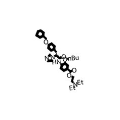 CCCCOc1cc(C(=O)OCCN(CC)CC)ccc1NC(=O)[C@@H](Cc1ccc(OCc2ccccc2)cc1)n1ccnc1